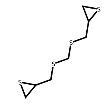 C(SCC1CS1)SCC1CS1